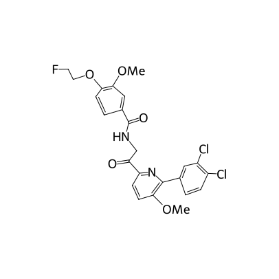 COc1cc(C(=O)NCC(=O)c2ccc(OC)c(-c3ccc(Cl)c(Cl)c3)n2)ccc1OCCF